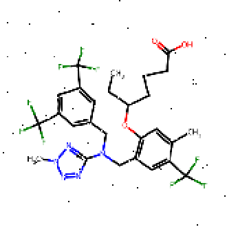 CCC(CCCC(=O)O)Oc1cc(C)c(C(F)(F)F)cc1CN(Cc1cc(C(F)(F)F)cc(C(F)(F)F)c1)c1nnn(C)n1